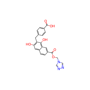 O=C(O)c1ccc(Cc2c(O)cc3ccc(C(=O)OCn4cnnc4)cc3c2O)cc1